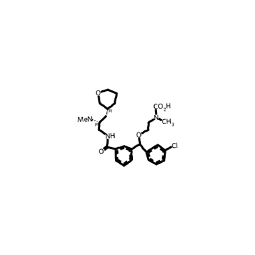 CN[C@@H](CNC(=O)c1cccc(C(OCCN(C)C(=O)O)c2cccc(Cl)c2)c1)C[C@H]1CCCOC1